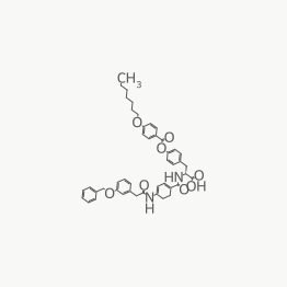 CCCCCCCOc1ccc(C(=O)Oc2ccc(C[C@H](NC(=O)C3=CC=C(NC(=O)Cc4cccc(OCc5ccccc5)c4)CC3)C(=O)O)cc2)cc1